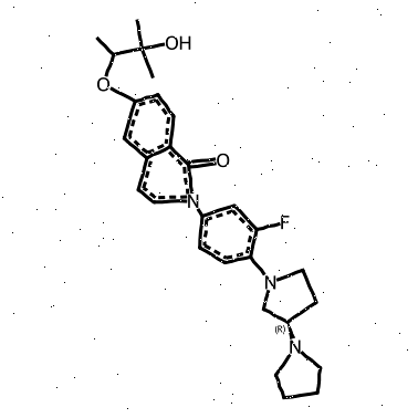 CC(Oc1ccc2c(=O)n(-c3ccc(N4CC[C@@H](N5CCCC5)C4)c(F)c3)ccc2c1)C(C)(C)O